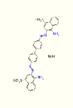 Nc1c(N=Nc2ccc(-c3ccc(N=Nc4cc(S(=O)(=O)O)c5ccccc5c4N)cc3)cc2)cc(S(=O)(=O)O)c2ccccc12.[NaH]